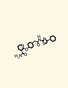 NC(=O)c1cccnc1Oc1ccc(CC(=O)Nc2nc(-c3ccccc3)cs2)cc1